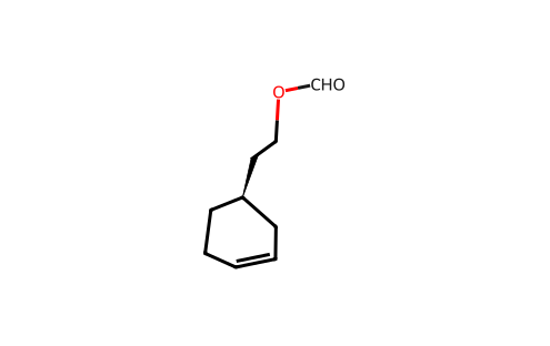 O=COCC[C@H]1CC=CCC1